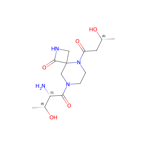 C[C@@H](O)CC(=O)N1CCN(C(=O)[C@@H](N)[C@@H](C)O)CC12CNC2=O